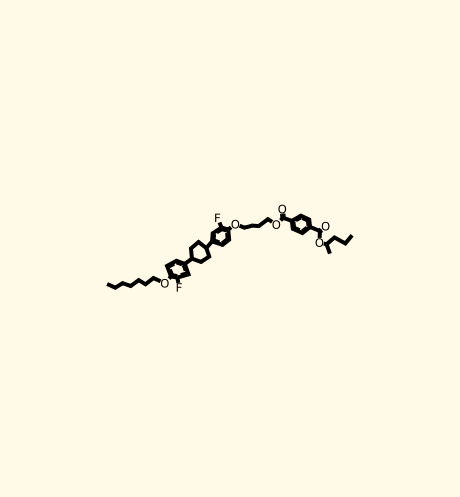 CCCCCCCOc1ccc(C2CCC(c3ccc(OCCCCOC(=O)c4ccc(C(=O)OC(C)CCC)cc4)c(F)c3)CC2)cc1F